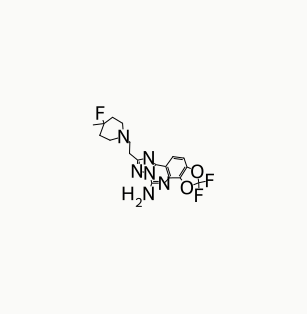 CC1(F)CCN(CCc2nc3c4ccc5c(c4nc(N)n3n2)OC(F)(F)O5)CC1